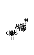 CNc1nc(Nc2ccc(C(=O)N3CCCC(CCC(=O)[C@H]4CC[C@H](CSC(C)(C)[C@H](NC(=O)C5(F)CC5)C(=O)N5C[C@H](O)CC5C(=O)NCc5ccc(-c6scnc6C)cc5)CC4)CC3)cc2OC)ncc1Cl